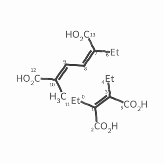 CC/C(C(=O)O)=C(\CC)C(=O)O.CCC(=CC=C(C)C(=O)O)C(=O)O